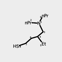 CCCN(CCC)CC(CC)CCS